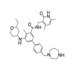 CCC1CC(Nc2cc(-c3ccc(CN4CCCNCC4)cc3)cc(C(=O)NCc3c(C)cc(C)[nH]c3=O)c2C)CCO1